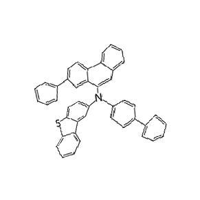 c1ccc(-c2ccc(N(c3ccc4sc5ccccc5c4c3)c3cc4ccccc4c4ccc(-c5ccccc5)cc34)cc2)cc1